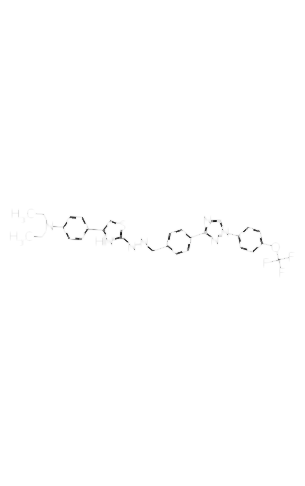 CCN(CC)c1ccc(-c2cs/c(=N\N=Cc3ccc(-c4ncn(-c5ccc(OC(F)(F)F)cc5)n4)cc3)[nH]2)cc1